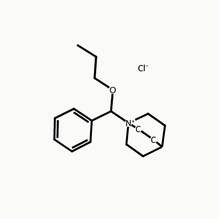 CCCOC(c1ccccc1)[N+]12CCC(CC1)CC2.[Cl-]